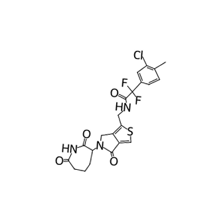 Cc1ccc(C(F)(F)C(=O)NCc2scc3c2CN(C2CCCC(=O)NC2=O)C3=O)cc1Cl